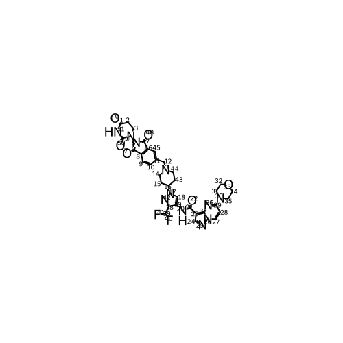 O=C1CCN(N2C(=O)c3ccc(CN4CCC(n5cc(NC(=O)c6cnn7ccc(N8CCOCC8)nc67)c(C(F)F)n5)CC4)cc3C2=O)C(=O)N1